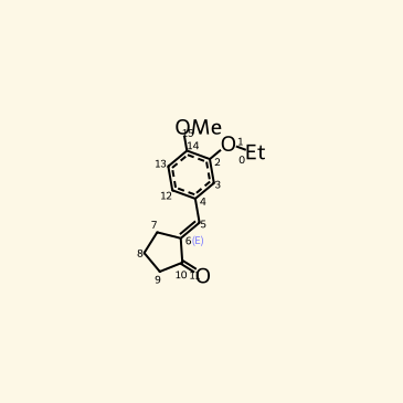 CCOc1cc(/C=C2\CCCC2=O)ccc1OC